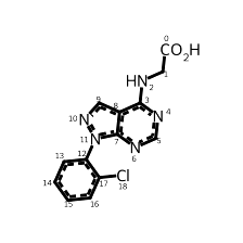 O=C(O)CNc1ncnc2c1cnn2-c1ccccc1Cl